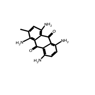 Cc1cc(N)c2c(c1N)C(=O)c1c(N)ccc(N)c1C2=O